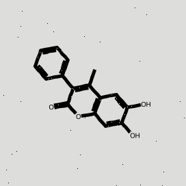 Cc1c(-c2ccccc2)c(=O)oc2cc(O)c(O)cc12